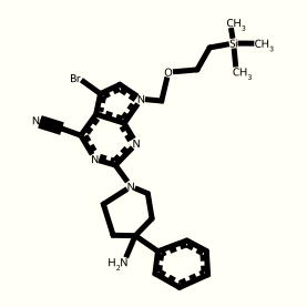 C[Si](C)(C)CCOCn1cc(Br)c2c(C#N)nc(N3CCC(N)(c4ccccc4)CC3)nc21